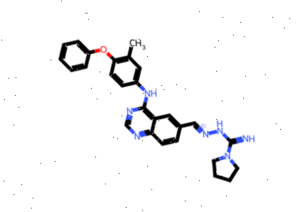 Cc1cc(Nc2ncnc3ccc(/C=N/NC(=N)N4CCCC4)cc23)ccc1Oc1ccccc1